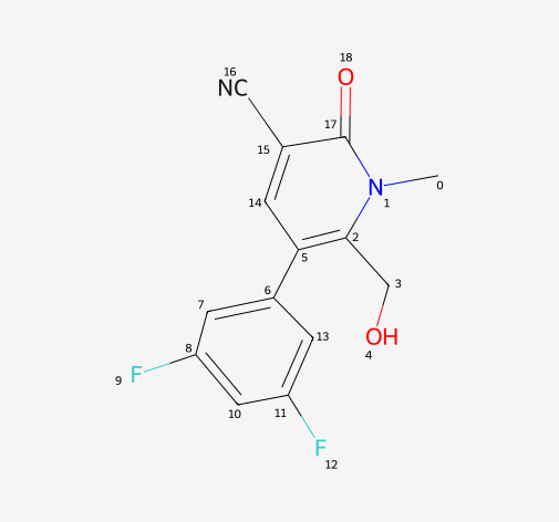 Cn1c(CO)c(-c2cc(F)cc(F)c2)cc(C#N)c1=O